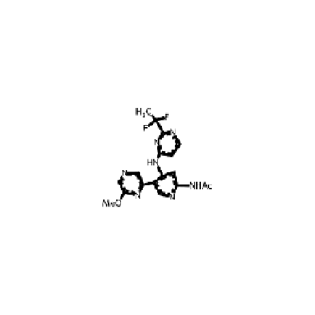 COc1cncc(-c2cnc(NC(C)=O)cc2Nc2ccnc(C(C)(F)F)n2)n1